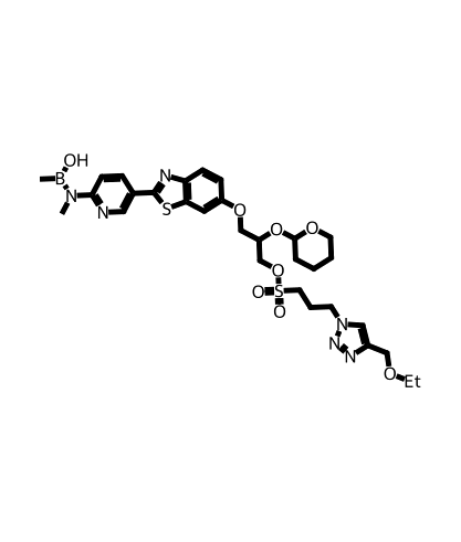 CCOCc1cn(CCCS(=O)(=O)OCC(COc2ccc3nc(-c4ccc(N(C)B(C)O)nc4)sc3c2)OC2CCCCO2)nn1